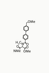 CNC(=O)C(C(=O)OC)N(C)C(=O)c1ccc(-c2ccc(COC)cc2)cc1